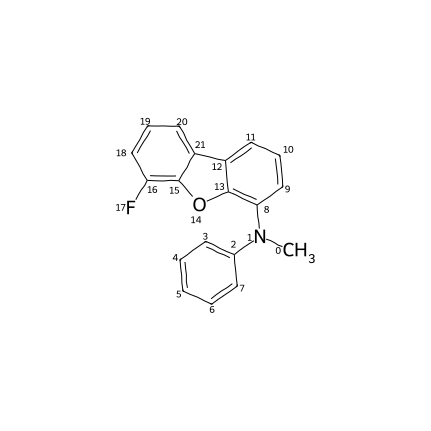 CN(c1ccccc1)c1cccc2c1oc1c(F)cccc12